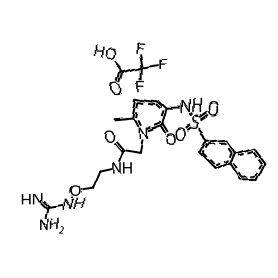 Cc1ccc(NS(=O)(=O)c2ccc3ccccc3c2)c(=O)n1CC(=O)NCCONC(=N)N.O=C(O)C(F)(F)F